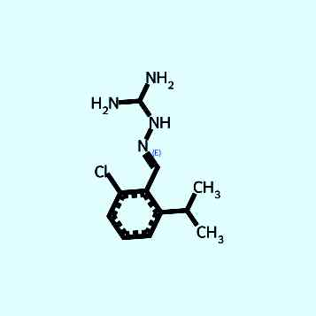 CC(C)c1cccc(Cl)c1/C=N/NC(N)N